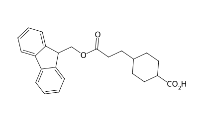 O=C(CCC1CCC(C(=O)O)CC1)OCC1c2ccccc2-c2ccccc21